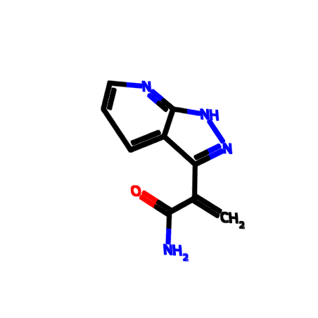 C=C(C(N)=O)c1n[nH]c2ncccc12